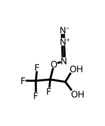 [N-]=[N+]=NOC(F)(C(O)O)C(F)(F)F